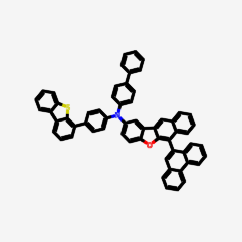 c1ccc(-c2ccc(N(c3ccc(-c4cccc5c4sc4ccccc45)cc3)c3ccc4oc5c(-c6cc7ccccc7c7ccccc67)c6ccccc6cc5c4c3)cc2)cc1